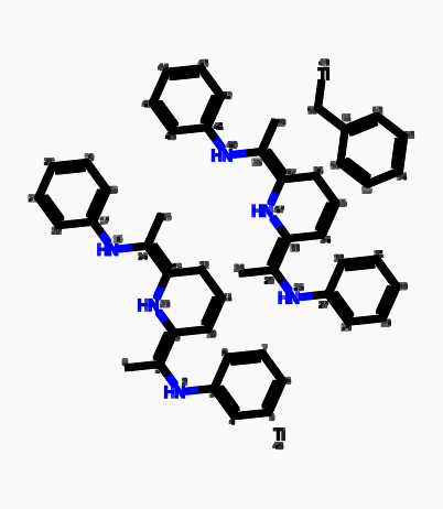 CC(Nc1ccccc1)=C1C=CCC(=C(C)Nc2ccccc2)N1.CC(Nc1ccccc1)=C1C=CCC(=C(C)Nc2ccccc2)N1.[Ti].[Ti][CH2]c1ccccc1